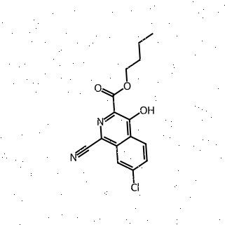 CCCCOC(=O)c1nc(C#N)c2cc(Cl)ccc2c1O